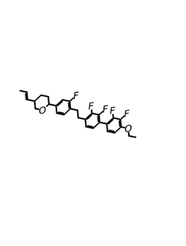 C/C=C/C1CCC(c2ccc(CCc3ccc(-c4ccc(OCC)c(F)c4F)c(F)c3F)c(F)c2)OC1